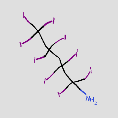 NC(I)(I)C(I)(I)C(I)(I)C(I)(I)I